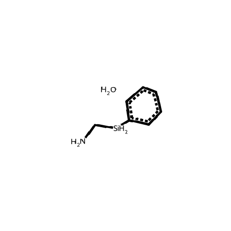 NC[SiH2]c1ccccc1.O